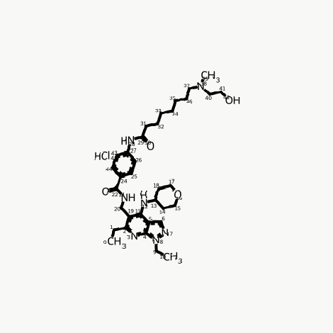 CCc1nc2c(cnn2CC)c(NC2CCOCC2)c1CNC(=O)c1ccc(NC(=O)CCCCCCCN(C)CCO)cc1.Cl